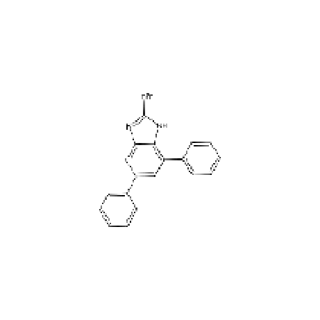 CCCc1nc2nc(-c3ccccc3)cc(-c3ccccc3)c2[nH]1